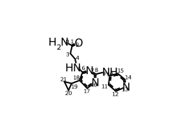 NC(=O)CCNc1nc(Nc2ccncc2)ncc1C1CC1